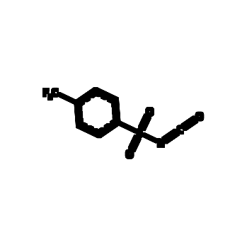 O=C=NS(=O)(=O)c1ccc(C(F)(F)F)cc1